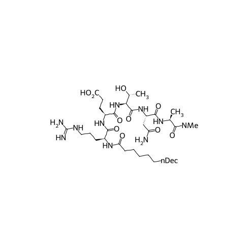 CCCCCCCCCCCCCCCC(=O)N[C@@H](CCCNC(=N)N)C(=O)N[C@@H](CCC(=O)O)C(=O)N[C@H](C(=O)N[C@@H](CC(N)=O)C(=O)N[C@@H](C)C(=O)NC)[C@@H](C)O